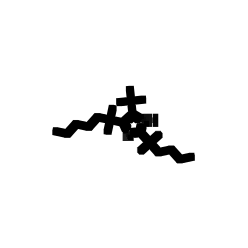 CCCCCC(C)(C)c1nc(C(C)(C)CCCC)[nH]c1C(C)(C)C